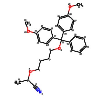 [CH2]C(C#N)OCCCCOC(c1ccccc1)(c1ccc(OC)cc1)c1ccc(OC)cc1